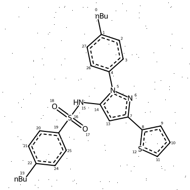 CCCCc1ccc(-n2nc(-c3cccs3)cc2NS(=O)(=O)c2ccc(CCCC)cc2)cc1